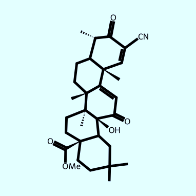 COC(=O)[C@]12CCC(C)(C)CC1[C@@]1(O)C(=O)C=C3[C@@]4(C)C=C(C#N)C(=O)[C@@H](C)C4CC[C@@]3(C)[C@]1(C)CC2